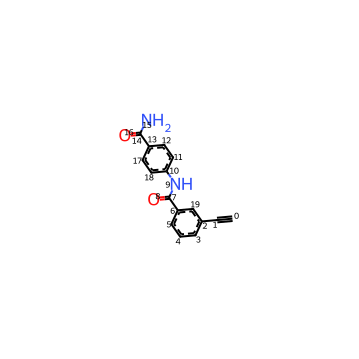 C#Cc1cccc(C(=O)Nc2ccc(C(N)=O)cc2)c1